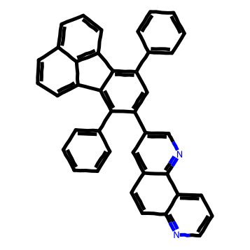 c1ccc(-c2cc(-c3cnc4c(ccc5ncccc54)c3)c(-c3ccccc3)c3c2-c2cccc4cccc-3c24)cc1